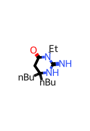 CCCCC1(CCCC)CC(=O)N(CC)C(=N)N1